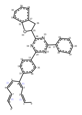 C\C=C/C=C(\C=C/C=C/C)c1ccc(-c2nc(-c3ccccc3)nc(C3Cc4ccccc4O3)n2)cc1